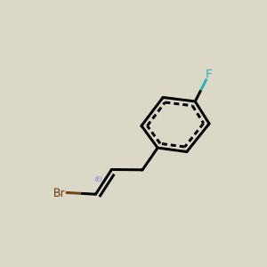 Fc1ccc(C/C=C/Br)cc1